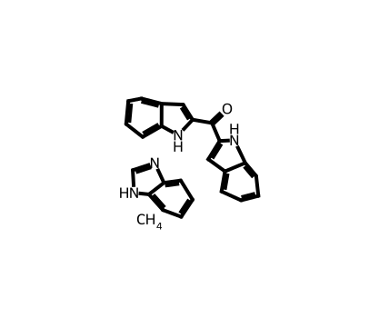 C.O=C(c1cc2ccccc2[nH]1)c1cc2ccccc2[nH]1.c1ccc2[nH]cnc2c1